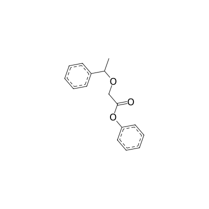 CC(OCC(=O)Oc1ccccc1)c1ccccc1